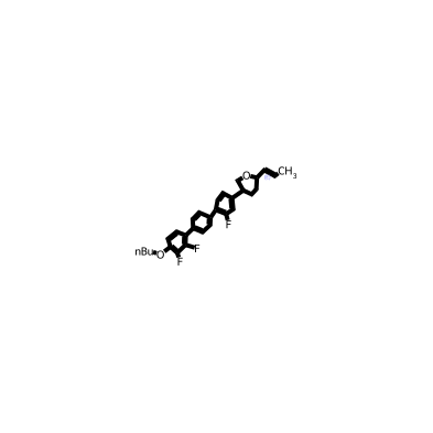 C/C=C/C1CCC(c2ccc(-c3ccc(-c4ccc(OCCCC)c(F)c4F)cc3)c(F)c2)CO1